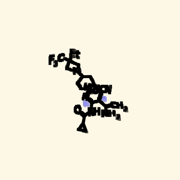 C=C(N)C(=C/N)/C(=N\C1(CC#N)CCC(N2CC(CC)(C(F)(F)F)C2)CC1)NC(=O)C1CC1